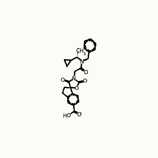 C[C@@H](C1CC1)N(Cc1ccccc1)C(=O)CN1C(=O)OC2(CCc3cc(C(=O)O)ccc32)C1=O